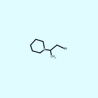 CC(C)CC(C)N1CCCCC1